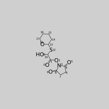 O=C(ON1C(=O)CCC1=O)C(O)SC1CCCCO1